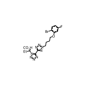 CCC(C(=O)O)n1nnnc1-c1nnn(CCCCOc2cc(F)ccc2Br)n1